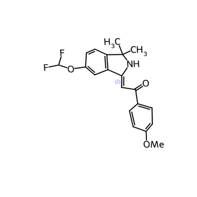 COc1ccc(C(=O)/C=C2\NC(C)(C)c3ccc(OC(F)F)cc32)cc1